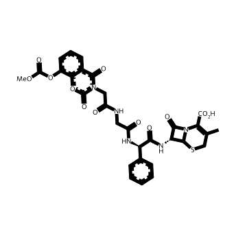 COC(=O)Oc1cccc2c(=O)n(CC(=O)NCC(=O)N[C@@H](C(=O)N[C@@H]3C(=O)N4C(C(=O)O)=C(C)CSC34)c3ccccc3)c(=O)oc12